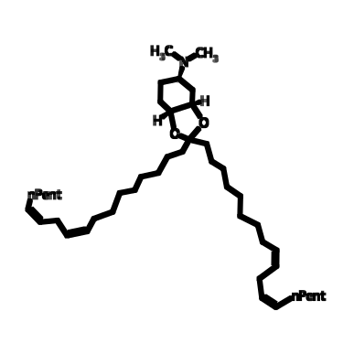 CCCCC/C=C\C/C=C\CCCCCCCCC1(CCCCCCCC/C=C\C/C=C\CCCCC)O[C@H]2C[C@H](N(C)C)CC[C@H]2O1